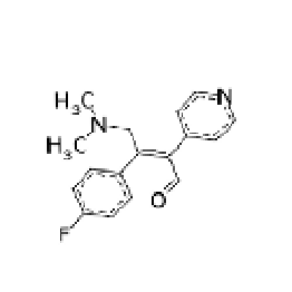 CN(C)CC(=C(C=O)c1ccncc1)c1ccc(F)cc1